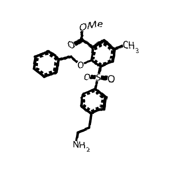 COC(=O)c1cc(C)cc(S(=O)(=O)c2ccc(CCN)cc2)c1OCc1ccccc1